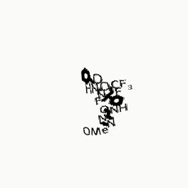 COc1cnc(C(=O)Nc2ccc(F)c(C3(CF)CC(C(F)(F)F)OC(NC(=O)c4ccccc4)=N3)c2)cn1